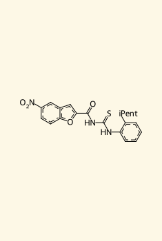 CCCC(C)c1ccccc1NC(=S)NC(=O)c1cc2cc([N+](=O)[O-])ccc2o1